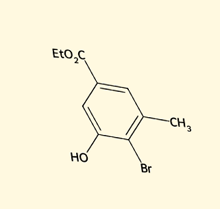 CCOC(=O)c1cc(C)c(Br)c(O)c1